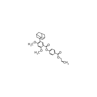 C=CCOC(=O)c1ccc(OC(=O)c2cc(C34CC5CC(CC(C5)C3)C4)c(OC)cc2OC)cc1